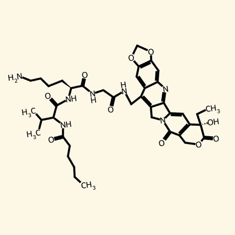 CCCCCC(=O)NC(C(=O)N[C@@H](CCCCN)C(=O)NCC(=O)NCc1c2c(nc3cc4c(cc13)OCO4)-c1cc3c(c(=O)n1C2)COC(=O)[C@]3(O)CC)C(C)C